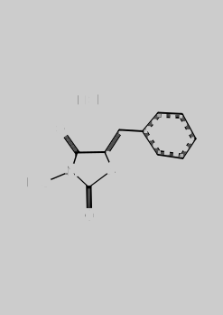 Cl.O=C1S/C(=C\c2ccccc2)C(=O)N1C(F)(F)F